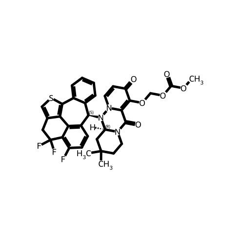 COC(=O)OCOc1c2n(ccc1=O)N([C@@H]1c3ccccc3-c3scc4c3-c3c1ccc(F)c3C(F)(F)C4)[C@@H]1CC(C)(C)CCN1C2=O